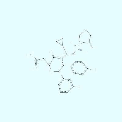 CC1CCCN1S(=O)(=O)C[C@H](C1CC1)N1C(=O)[C@](C)(CC(=O)O)O[C@H](c2cccc(Cl)c2)[C@H]1c1ccc(Cl)cc1